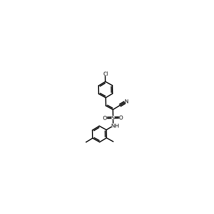 Cc1ccc(NS(=O)(=O)C(C#N)=Cc2ccc(Cl)cc2)c(C)c1